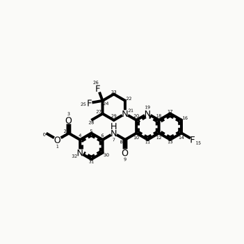 COC(=O)c1cc(NC(=O)c2cc3cc(F)ccc3nc2N2CCC(F)(F)C(C)C2)ccn1